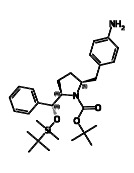 CC(C)(C)OC(=O)N1[C@H](Cc2ccc(N)cc2)CC[C@@H]1[C@H](O[Si](C)(C)C(C)(C)C)c1ccccc1